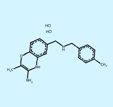 CC1=C(N)Nc2cc(CNCc3ccc(C)cc3)ccc2O1.Cl.Cl